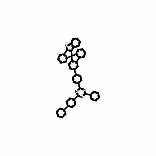 c1ccc(-c2ccc(-c3nc(-c4ccccc4)nc(-c4ccc(-c5ccc6c(c5)-c5ccccc5C65c6ccccc6-c6oc7ccccc7c65)cc4)n3)cc2)cc1